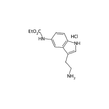 CCOC(=O)Nc1ccc2[nH]cc(CCN)c2c1.Cl